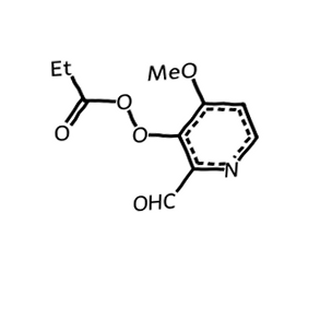 CCC(=O)OOc1c(OC)ccnc1C=O